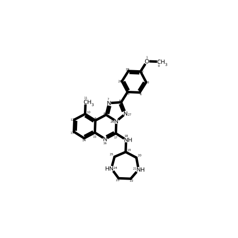 COc1ccc(-c2nc3c4c(C)cccc4nc(NC4CNCCNC4)n3n2)cc1